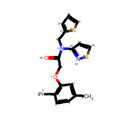 Cc1ccc(C(C)C)c(OCC(=O)N(Cc2cccs2)c2ccsn2)c1